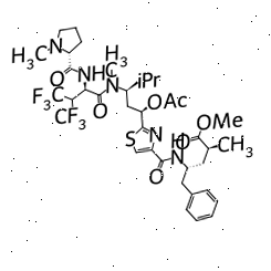 COC(=O)[C@@H](C)C[C@H](Cc1ccccc1)NC(=O)c1csc([C@@H](C[C@H](C(C)C)N(C)C(=O)[C@H](NC(=O)[C@H]2CCCN2C)C(C(F)(F)F)C(F)(F)F)OC(C)=O)n1